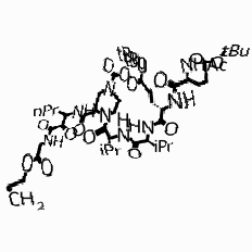 C=CCOC(=O)CNC(=O)C(=O)C(CCC)NC(=O)C1CN(C(=O)OC(C)(C)C)CCN1C(=O)[C@@H](NC(=O)[C@@H](NC(=O)[C@H](CCC(=O)OC(C)(C)C)NC(=O)[C@H](CCC(=O)OC(C)(C)C)NC(C)=O)C(C)C)C(C)C